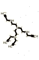 C#CCNCCN(CCNCC#C)CCN(CC#C)CC#C